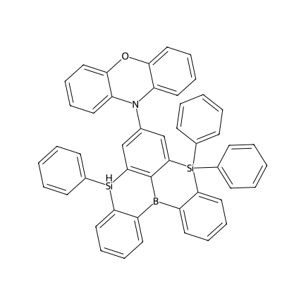 c1ccc([SiH]2c3ccccc3B3c4ccccc4[Si](c4ccccc4)(c4ccccc4)c4cc(N5c6ccccc6Oc6ccccc65)cc2c43)cc1